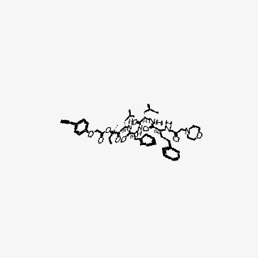 C#Cc1ccc(OCC(=O)O[C@](C)(CC)C(=O)[C@H](CC(C)C)NC(=O)[C@H](Cc2ccccc2)NC(=O)[C@H](CC(C)C)NC(=O)[C@H](CCc2ccccc2)NC(=O)CN2CCOCC2)cc1